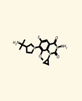 COc1c(N2CCC(C(C)(C)N)C2)c(F)cc2c(=O)n(N)c(=O)n(C3CC3)c12